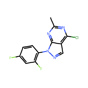 Cc1nc(Cl)c2cnn(-c3ccc(F)cc3F)c2n1